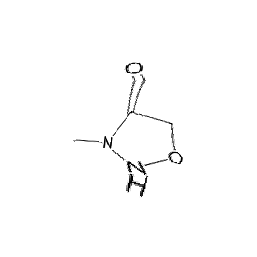 CN1NOCC1=O